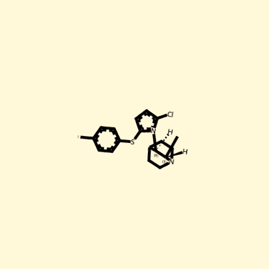 [CH]c1ccc(Sc2ccc(Cl)n2[C@@H]2C3CCN(CC3)[C@H]2C)cc1